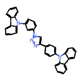 c1cc(-n2cc(-c3ccc(-n4c5ccccc5c5ccccc54)cc3)nn2)cc(-n2c3ccccc3c3ccccc32)c1